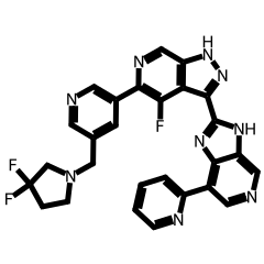 Fc1c(-c2cncc(CN3CCC(F)(F)C3)c2)ncc2[nH]nc(-c3nc4c(-c5ccccn5)cncc4[nH]3)c12